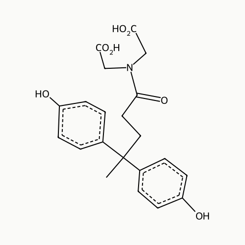 CC(CCC(=O)N(CC(=O)O)CC(=O)O)(c1ccc(O)cc1)c1ccc(O)cc1